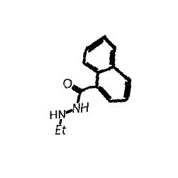 CCNNC(=O)c1cccc2ccccc12